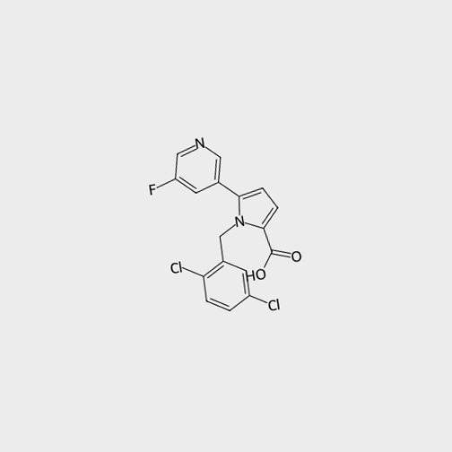 O=C(O)c1ccc(-c2cncc(F)c2)n1Cc1cc(Cl)ccc1Cl